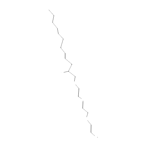 CCCCCCCCCCC(O)COCCOCCOCCO